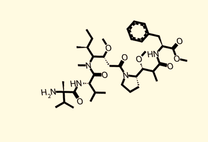 CC[C@H](C)C([C@@H](CC(=O)N1CCC[C@H]1[C@H](OC)C(C)C(=O)N[C@@H](Cc1ccccc1)C(=O)OC)OC)N(C)C(=O)[C@@H](NC(=O)[C@@](C)(N)C(C)C)C(C)C